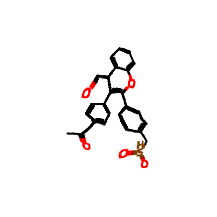 CC(=O)c1ccc(C2=C(c3ccc(C[SH](=O)=O)cc3)Oc3ccccc3C2C=O)cc1